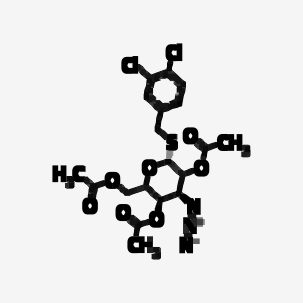 CC(=O)OCC1O[C@H](SCc2ccc(Cl)c(Cl)c2)C(OC(C)=O)[C@@H](N=[N+]=[N-])[C@H]1OC(C)=O